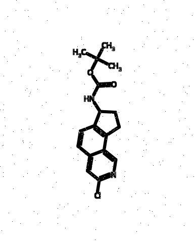 CC(C)(C)OC(=O)NC1CCc2c1ccc1cc(Cl)ncc21